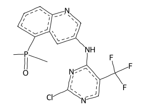 CP(C)(=O)c1cccc2ncc(Nc3nc(Cl)ncc3C(F)(F)F)cc12